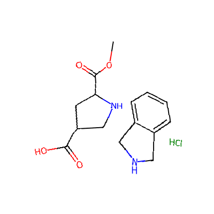 COC(=O)C1CC(C(=O)O)CN1.Cl.c1ccc2c(c1)CNC2